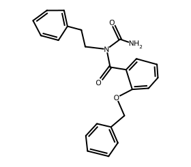 NC(=O)N(CCc1ccccc1)C(=O)c1ccccc1OCc1ccccc1